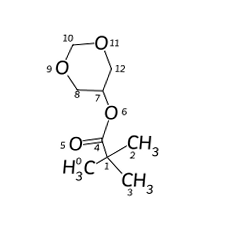 CC(C)(C)C(=O)OC1COCOC1